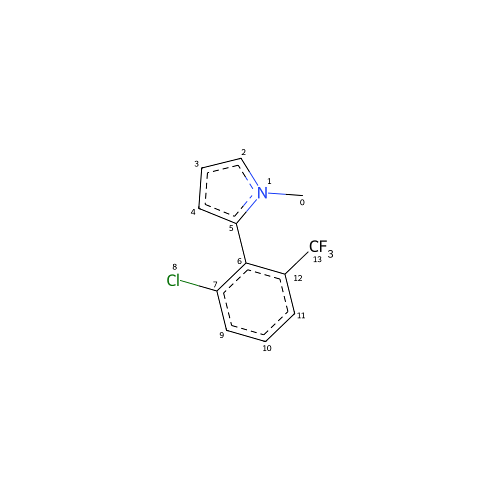 Cn1cccc1-c1c(Cl)cccc1C(F)(F)F